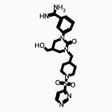 N=C(N)c1cccc(N2CC(CO)CN(CC3CCN(S(=O)(=O)c4ccncn4)CC3)C2=O)c1